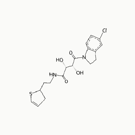 O=C(NCCC1CC=CS1)[C@H](O)[C@@H](O)C(=O)N1CCc2cc(Cl)ccc21